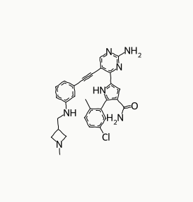 Cc1ccc(Cl)cc1-c1[nH]c(-c2nc(N)ncc2C#Cc2cccc(NCC3CN(C)C3)c2)cc1C(N)=O